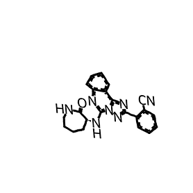 N#Cc1ccccc1-c1nc2c3ccccc3nc(N[C@@H]3CCCCNC3=O)n2n1